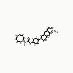 COc1cc2cc(-c3ccc(CC(=O)NC4=C/C=C\C=C/C=C\4)cn3)cnc2cc1OC